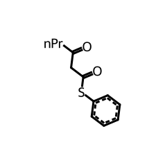 CCCC(=O)CC(=O)Sc1ccccc1